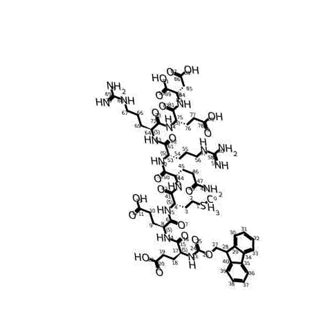 CSCC[C@H](NC(=O)[C@H](CCC(=O)O)NC(=O)[C@H](CCC(=O)O)NC(=O)OCC1c2ccccc2-c2ccccc21)C(=O)N[C@@H](CCC(N)=O)C(=O)N[C@@H](CCCNC(=N)N)C(=O)N[C@@H](CCCNC(=N)N)C(=O)N[C@@H](CCC(=O)O)C(=O)N[C@@H](CC(=O)O)C(=O)O